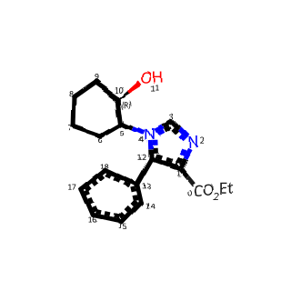 CCOC(=O)c1ncn(C2CCCC[C@H]2O)c1-c1ccccc1